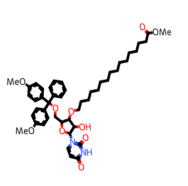 COC(=O)CCCCCCCCCCCCCCCOC1C(COC(c2ccccc2)(c2ccc(OC)cc2)c2ccc(OC)cc2)OC(n2ccc(=O)[nH]c2=O)C1O